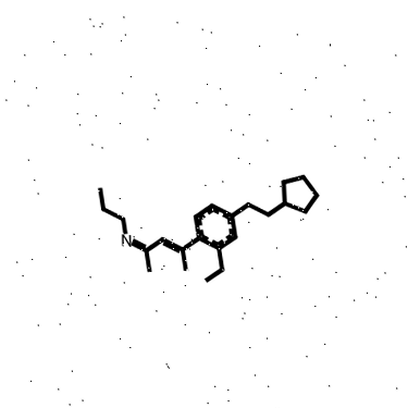 CCC/N=C(C)\C=C(/C)c1ccc(CCC2CCCC2)cc1CC